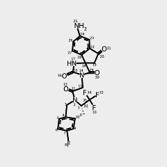 C[C@H](N(Cc1ccc(F)cc1)C(=O)CN1C(=O)NC2(CC(=O)c3cc(N)ccc32)C1=O)C(F)(F)F